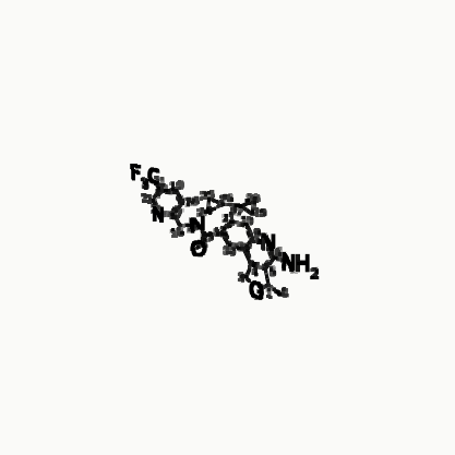 C[C@H]1OCc2c1c(N)nc1ccc(C(=O)N(Cc3ccc(C(F)(F)F)cn3)[C@@H]3C[C@H]3C3CC3)cc21